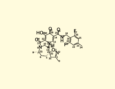 CC1=NO[C@@]2(CC[C@H](C)N3C[C@H]2n2cc(C(=O)NCc4c(F)cc(C)cc4F)c(=O)c(O)c2C3=O)C1